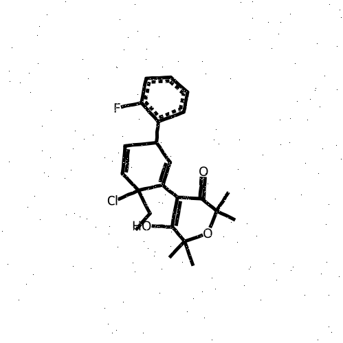 CCC1(Cl)C=CC(c2ccccc2F)C=C1C1=C(O)C(C)(C)OC(C)(C)C1=O